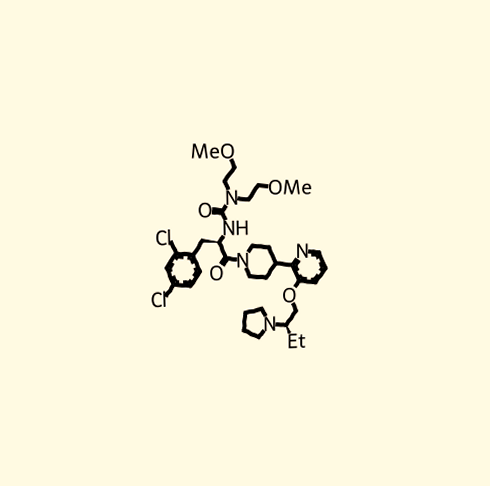 CC[C@H](COc1cccnc1C1CCN(C(=O)[C@@H](Cc2ccc(Cl)cc2Cl)NC(=O)N(CCOC)CCOC)CC1)N1CCCC1